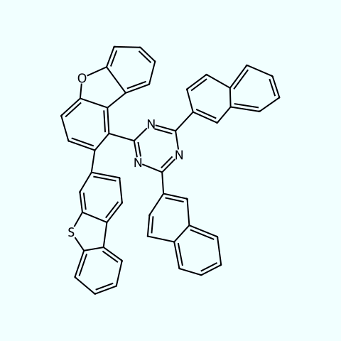 c1ccc2cc(-c3nc(-c4ccc5ccccc5c4)nc(-c4c(-c5ccc6c(c5)sc5ccccc56)ccc5oc6ccccc6c45)n3)ccc2c1